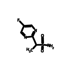 CC(c1ncc(F)cn1)S(N)(=O)=O